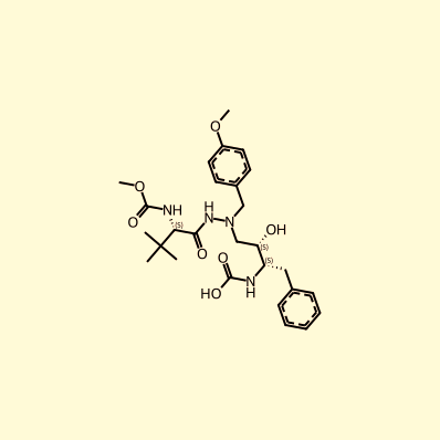 COC(=O)N[C@H](C(=O)NN(Cc1ccc(OC)cc1)C[C@H](O)[C@H](Cc1ccccc1)NC(=O)O)C(C)(C)C